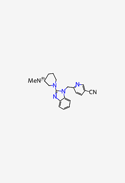 CN[C@@H]1CCCN(c2nc3ccccc3n2Cc2ccc(C#N)cn2)C1